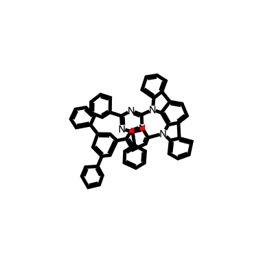 c1ccc(-c2cc(-c3ccccc3)cc(-c3ccc(-n4c5ccccc5c5ccc6c7ccccc7n(-c7nc(-c8ccccc8)nc(-c8ccccc8)n7)c6c54)cc3)c2)cc1